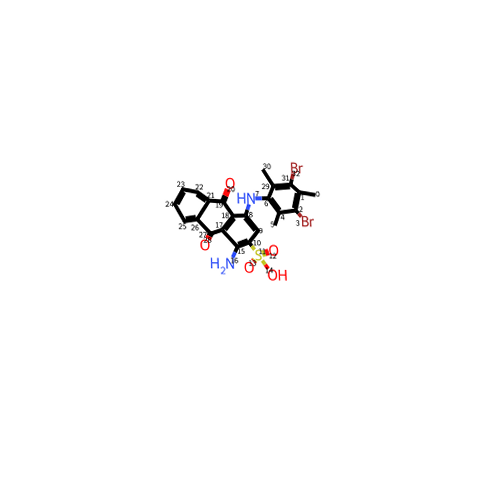 Cc1c(Br)c(C)c(Nc2cc(S(=O)(=O)O)c(N)c3c2C(=O)c2ccccc2C3=O)c(C)c1Br